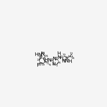 CC(Nc1nccc(Nc2cc(C3CC3)[nH]n2)n1)c1cc(F)cc2[nH]ncc12